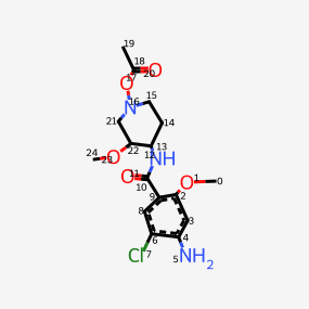 COc1cc(N)c(Cl)cc1C(=O)NC1CCN(OC(C)=O)CC1OC